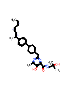 C\C=C/C=C\C=C(/C)c1ccc(C2CCC(Cc3nc(C)c(O)c(C(=O)NCC(C)(C)O)n3)CC2)cc1